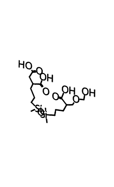 C[Si](C)(CCCC(COCO)C(=O)O)O[Si](C)(C)CCCC(CC(=O)O)C(=O)O